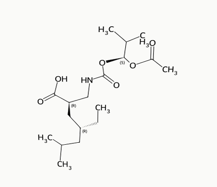 CC[C@H](CC(C)C)C[C@H](CNC(=O)O[C@H](OC(C)=O)C(C)C)C(=O)O